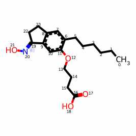 CCCCCCc1cc2c(cc1OCCCC(=O)O)/C(=N/O)CC2